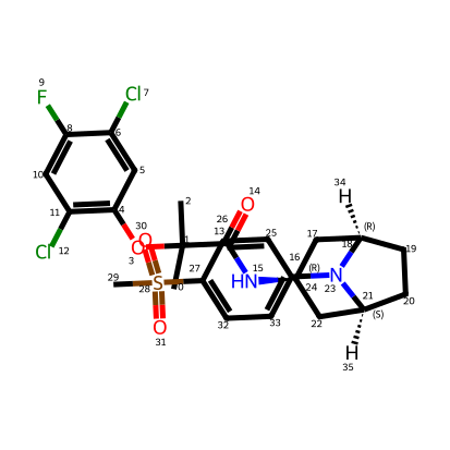 CC(C)(Oc1cc(Cl)c(F)cc1Cl)C(=O)N[C@H]1C[C@H]2CC[C@@H](C1)N2c1ccc(S(C)(=O)=O)cc1